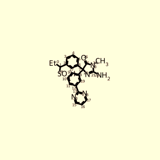 CCC(c1cccc(C2(c3cccc(-c4ncccn4)c3)N=C(N)N(C)C2=O)c1)S(=O)(=O)O